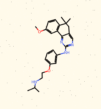 COc1ccc2c(c1)-c1nc(Nc3cccc(OCCNC(C)C)c3)ncc1CC2(C)C